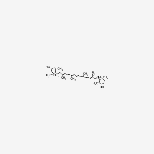 CC1=C(/C=C/C(C)=C/C=C/C(C)=C/C=C/C=C(C)/C=C/C=C(C)/C=C/C2=C(C)C(O)CCC2(C)C)C(C)(C)C[C@H](O)C1